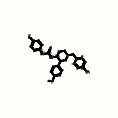 COc1ccc(C2CN(Cc3ncc(C)cn3)CC[C@H]2NC(=O)Nc2ccc(Cl)cc2)cc1